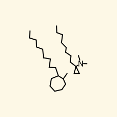 CCCCCCCCC1(N(C)C)CC1.CCCCCCCCCC1CCCCCC1C